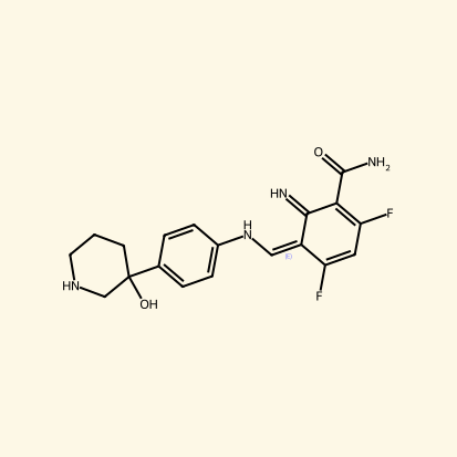 N=C1C(C(N)=O)=C(F)C=C(F)/C1=C/Nc1ccc(C2(O)CCCNC2)cc1